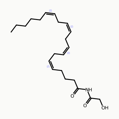 CCCCC/C=C\C/C=C\C/C=C\C/C=C\CCCC(=O)NC(=O)CO